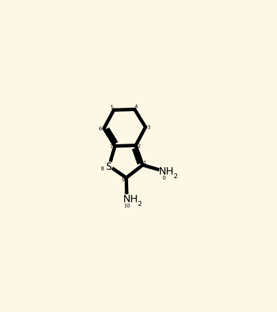 NC1=C2CCCC=C2SC1N